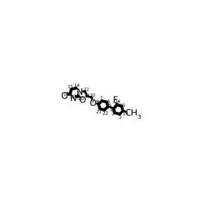 Cc1ccc(-c2ccc(OCC3Cn4ccc(=O)nc4O3)cc2)c(F)c1